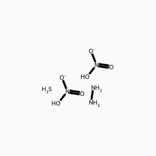 NN.O=[N+]([O-])O.O=[N+]([O-])O.S